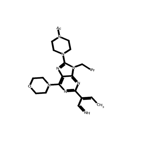 C/C=C(\C=N)c1nc(N2CCOCC2)c2nc(N3CCN(C(C)=O)CC3)n(CC(C)C)c2n1